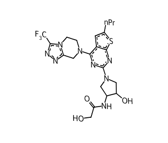 CCCc1cc2c(N3CCn4c(nnc4C(F)(F)F)C3)nc(N3CC(O)C(NC(=O)CO)C3)nc2s1